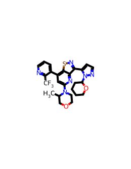 CC1COCCN1c1cc(-c2cccnc2C(F)(F)F)c2snc(-c3ccnn3C3CCCCO3)c2n1